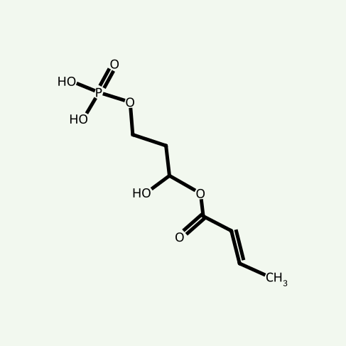 CC=CC(=O)OC(O)CCOP(=O)(O)O